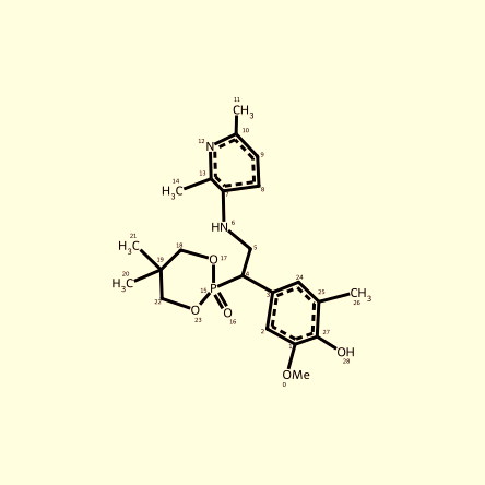 COc1cc(C(CNc2ccc(C)nc2C)P2(=O)OCC(C)(C)CO2)cc(C)c1O